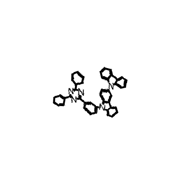 C1=CCC(c2nc(C3=CCCC=C3)nc(-c3cccc(-n4c5ccccc5c5cc(-n6c7ccccc7c7ccccc76)ccc54)c3)n2)C=C1